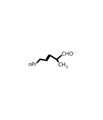 CCCCC=CC(C)[C]=O